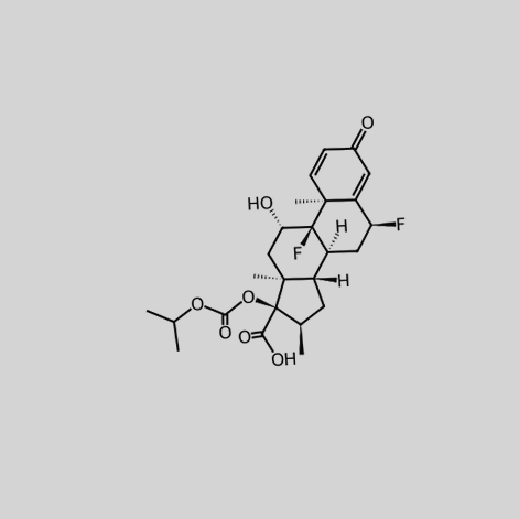 CC(C)OC(=O)O[C@]1(C(=O)O)[C@H](C)C[C@H]2[C@@H]3C[C@H](F)C4=CC(=O)C=C[C@]4(C)[C@@]3(F)[C@@H](O)C[C@@]21C